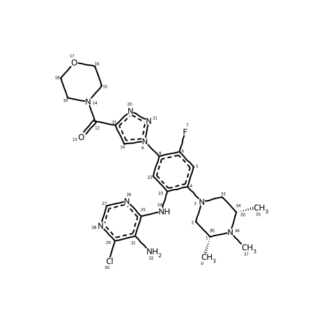 C[C@@H]1CN(c2cc(F)c(-n3cc(C(=O)N4CCOCC4)nn3)cc2Nc2ncnc(Cl)c2N)C[C@H](C)N1C